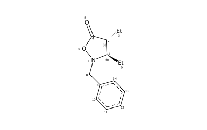 CC[C@@H]1[C@@H](CC)C(=O)ON1Cc1ccccc1